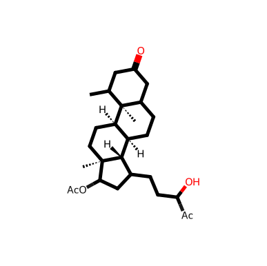 CC(=O)OC1CC(CCC(O)C(C)=O)[C@H]2[C@@H]3CCC4CC(=O)CC(C)[C@]4(C)[C@@H]3CC[C@]12C